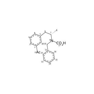 CC(=O)c1cccc(C[C@H](C)N(Cc2ccccc2)C(=O)O)c1